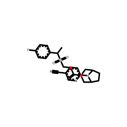 CC(c1ccc(F)cc1)S(=O)(=O)CCC(=O)N1CC2CCC(C1)N2c1ccc(C#N)cn1